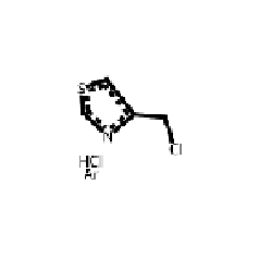 Cl.ClCc1cscn1.[Ar]